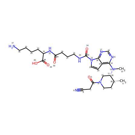 C[C@@H]1CCN(C(=O)CC#N)C[C@@H]1N(C)c1ncnc2c1ccn2C(=O)NCCCC(=O)NC(CCCCN)C(=O)O